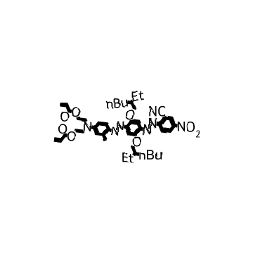 C=CC(=O)OCCN(CCOC(=O)C=C)c1ccc(/N=N/c2cc(OCC(CC)CCCC)c(/N=N/c3ccc([N+](=O)[O-])cc3C#N)cc2OCC(CC)CCCC)c(C)c1